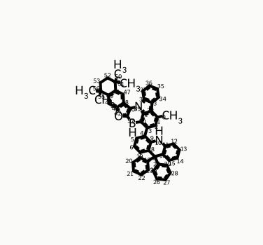 Cc1cc(-c2cccc3c2Nc2ccccc2C3(c2ccccc2)c2ccccc2)c2c3c1c1ccccc1n3-c1c(oc3cc4c(cc13)C(C)(C)CCC4(C)C)B2